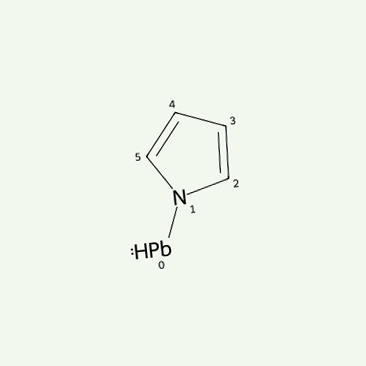 [PbH][n]1cccc1